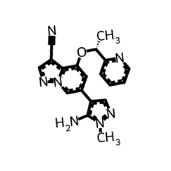 C[C@@H](Oc1cc(-c2cnn(C)c2N)cn2ncc(C#N)c12)c1ccccn1